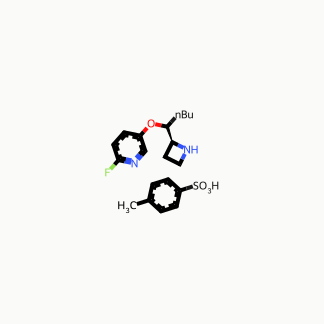 CCCCC(Oc1ccc(F)nc1)[C@@H]1CCN1.Cc1ccc(S(=O)(=O)O)cc1